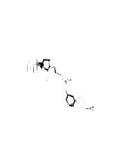 CN(CCc1cccc(OCC2CC2)c1)SCCCn1ccc(=O)[nH]c1=O